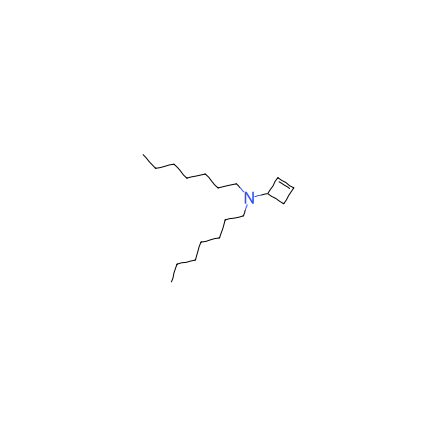 CCCCCCCN(CCCCCCC)C1C=CC1